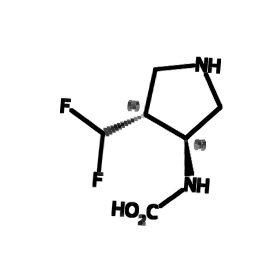 O=C(O)N[C@@H]1CNC[C@H]1C(F)F